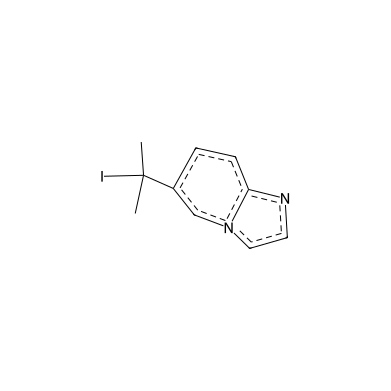 CC(C)(I)c1ccc2nccn2c1